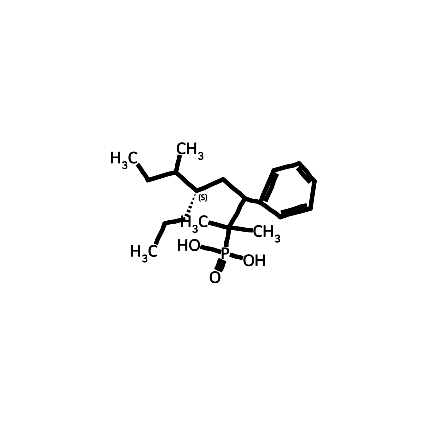 CCC[C@@H](CC(c1ccccc1)C(C)(C)P(=O)(O)O)C(C)CC